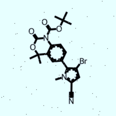 Cn1c(C#N)cc(Br)c1-c1ccc2c(c1)C(C)(C)OC(=O)N2C(=O)OC(C)(C)C